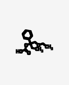 CCOCC(CC)(OC(=O)O)c1ccccc1